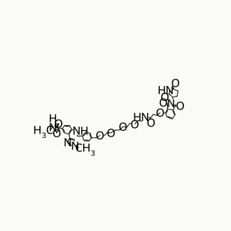 CNS(=O)(=O)c1ccc(NCc2ccc(COCCOCCOCCOCCNC(=O)CCOc3cccc4c3C(=O)N(C3CCC(=O)NC3=O)C4=O)cc2)c(-c2cn(C)cn2)c1